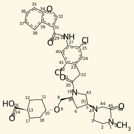 CN1CCN([C@H]2C[C@@H](CO[C@H]3CC[C@H](C(=O)O)CC3)N(C(=O)Cc3cc(Cl)c(NC(=O)c4coc5ccccc45)cc3Cl)C2)CC1=O